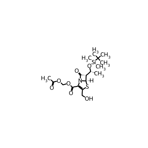 CC(=O)OCOC(=O)C1=C(CO)S[C@@H]2[C@@H]([C@@H](C)O[Si](C)(C)C(C)(C)C)C(=O)N12